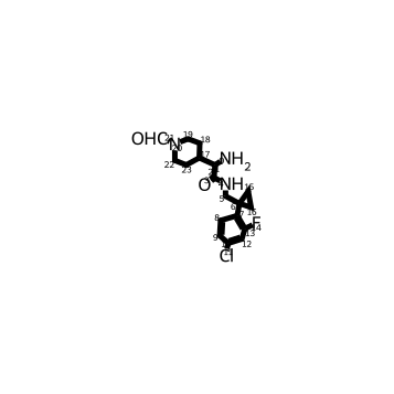 NC(C(=O)NCC1(c2ccc(Cl)cc2F)CC1)C1CCN(C=O)CC1